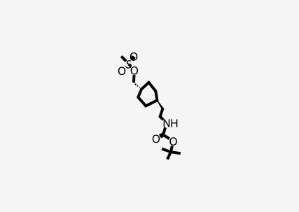 CC(C)(C)OC(=O)NCC[C@H]1CC[C@H](COS(C)(=O)=O)CC1